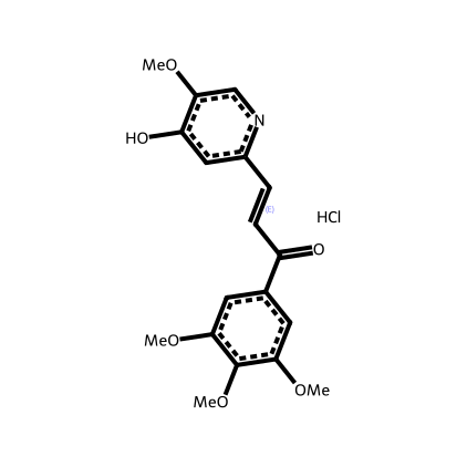 COc1cnc(/C=C/C(=O)c2cc(OC)c(OC)c(OC)c2)cc1O.Cl